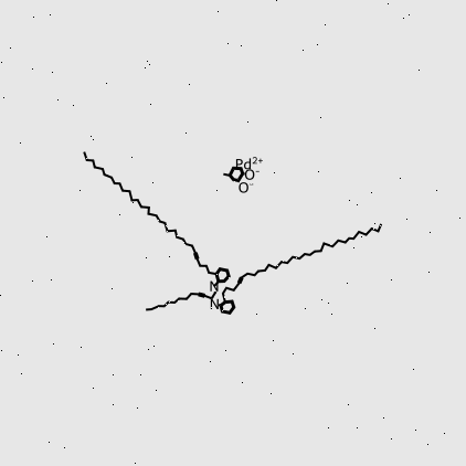 CCCCCCCCCC#CC(/C=N/c1ccccc1CCCC#CCCCCCCCCCCCCCCCCCCCCCCCCC)=N/c1ccccc1CCCC#CCCCCCCCCCCCCCCCCCCCCCCCCC.Cc1ccc([O-])c([O-])c1.[Pd+2]